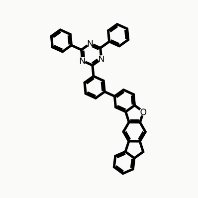 c1ccc(-c2nc(-c3ccccc3)nc(-c3cccc(-c4ccc5oc6cc7c(cc6c5c4)-c4ccccc4C7)c3)n2)cc1